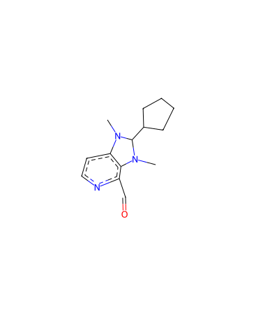 CN1c2ccnc(C=O)c2N(C)C1C1CCCC1